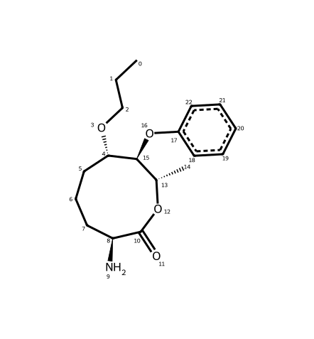 CCCO[C@H]1CCC[C@H](N)C(=O)O[C@@H](C)[C@@H]1Oc1ccccc1